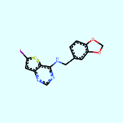 Ic1cc2ncnc(NCc3ccc4c(c3)OCO4)c2s1